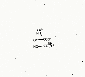 N.N.O=C(O)O.O=C([O-])[O-].[Ca+2]